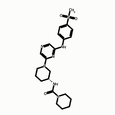 CS(=O)(=O)c1ccc(Nc2cncc(N3CCC[C@@H](NC(=O)N4CCCCC4)C3)n2)cc1